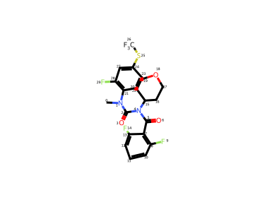 CN(C(=O)N(C(=O)c1c(F)cccc1F)C1CCOCC1)c1ccc(SC(F)(F)F)cc1F